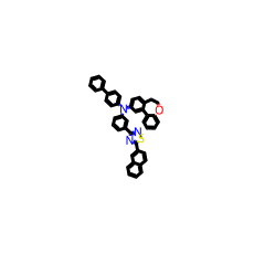 c1ccc(-c2ccc(N(c3cccc(-c4nsc(-c5ccc6ccccc6c5)n4)c3)c3ccc4c(c3)-c3ccccc3OCC4)cc2)cc1